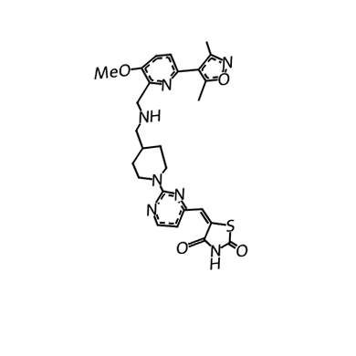 COc1ccc(-c2c(C)noc2C)nc1CNCC1CCN(c2nccc(/C=C3/SC(=O)NC3=O)n2)CC1